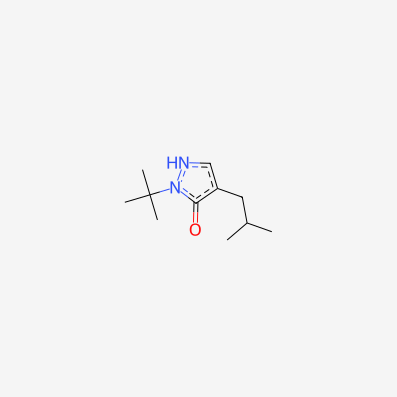 CC(C)Cc1c[nH]n(C(C)(C)C)c1=O